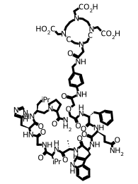 CC(C)C[C@@H](CN1CCCC1C(N)=O)NC(=O)[C@H](Cc1cnc[nH]1)NC(=O)CNC(=O)[C@@H](NC(=O)[C@H](C)NC(=O)[C@H](Cc1c[nH]c2ccccc12)NC(=O)[C@H](CCC(N)=O)NC(=O)[C@@H](Cc1ccccc1)NC(=O)COCC(=O)Nc1ccc(CNC(=O)CN2CCN(CC(=O)O)CCN(CC(=O)O)CCN(CC(=O)O)CC2)cc1)C(C)C